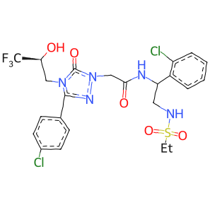 CCS(=O)(=O)NCC(NC(=O)Cn1nc(-c2ccc(Cl)cc2)n(C[C@H](O)C(F)(F)F)c1=O)c1ccccc1Cl